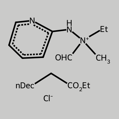 CCCCCCCCCCCC(=O)OCC.CC[N+](C)(C=O)Nc1ccccn1.[Cl-]